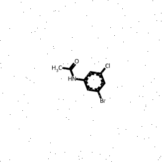 CC(=O)Nc1cc(Cl)cc(Br)c1